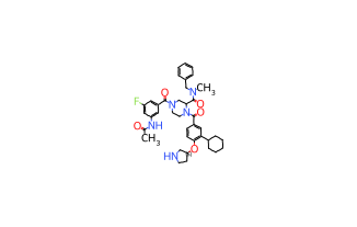 CC(=O)Nc1cc(F)cc(C(=O)N2CCN(C(=O)c3ccc(O[C@H]4CCNC4)c(C4CCCCC4)c3)C(C(=O)N(C)Cc3ccccc3)C2)c1